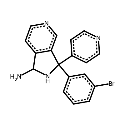 NC1NC(c2ccncc2)(c2cccc(Br)c2)c2cnccc21